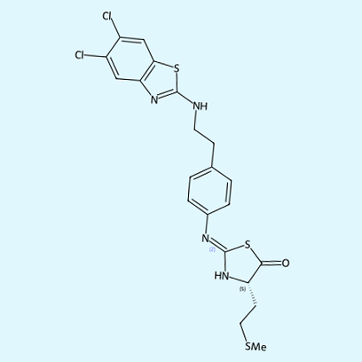 CSCC[C@@H]1N/C(=N/c2ccc(CCNc3nc4cc(Cl)c(Cl)cc4s3)cc2)SC1=O